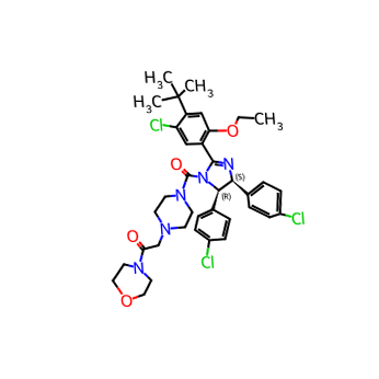 CCOc1cc(C(C)(C)C)c(Cl)cc1C1=N[C@@H](c2ccc(Cl)cc2)[C@@H](c2ccc(Cl)cc2)N1C(=O)N1CCN(CC(=O)N2CCOCC2)CC1